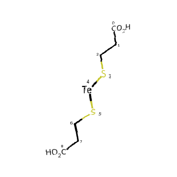 O=C(O)CCS[Te]SCCC(=O)O